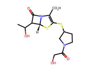 CC(O)C1C(=O)N2C(C(=O)O)=C(SC3CCN(C(=O)CO)C3)S[C@H]12